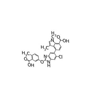 Cc1ccc(Oc2nc3cc(-c4ccc(C(=O)O)c5c4c(C)cn5C)c(Cl)cc3[nH]2)cc1C(=O)O